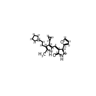 Cc1[nH]c(C=C2C(=O)NN=C2c2ccco2)c(C2CC2)c1CCN1CCCC1